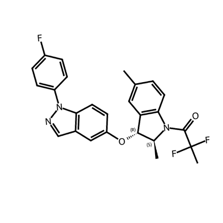 Cc1ccc2c(c1)[C@@H](Oc1ccc3c(cnn3-c3ccc(F)cc3)c1)[C@H](C)N2C(=O)C(C)(F)F